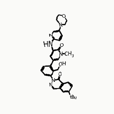 Cn1cc(-c2cccc(-n3ncc4cc(C(C)(C)C)ccc4c3=O)c2CO)cc(Nc2ccc(N3CCOCC3)cn2)c1=O